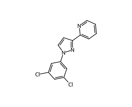 Clc1cc(Cl)cc(-n2ccc(-c3ccccn3)n2)c1